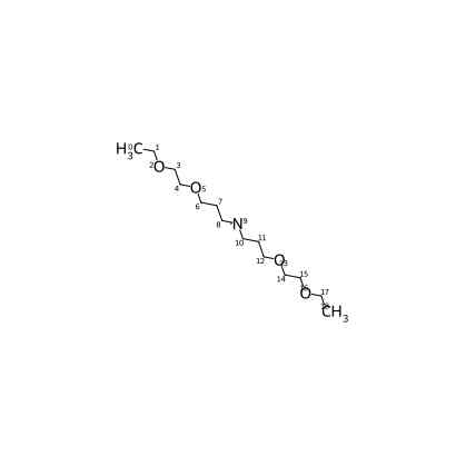 CCOCCOCCC[N]CCCOCCOCC